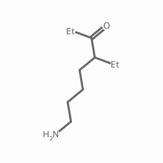 CCC(=O)C(CC)CCCCN